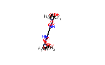 C=C(C(=O)O)[C@@H]1CC/C(COC(=O)/C=C/C(=O)NCCCCCCCCCCNC(=O)/C=C/C(=O)OC/C2=C/CC[C@@]3(C)O[C@H]3C[C@H](C(=C)C(=O)O)CC2)=C\CC[C@@]2(C)O[C@H]2C1